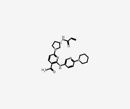 C=CC(=O)N[C@H]1CCN(c2ccc(C(N)=O)c(Nc3ccc(N4CCCCC4)nc3)n2)C1